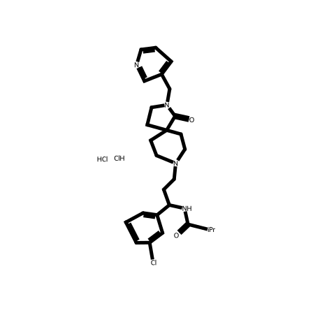 CC(C)C(=O)NC(CCN1CCC2(CC1)CCN(Cc1cccnc1)C2=O)c1cccc(Cl)c1.Cl.Cl